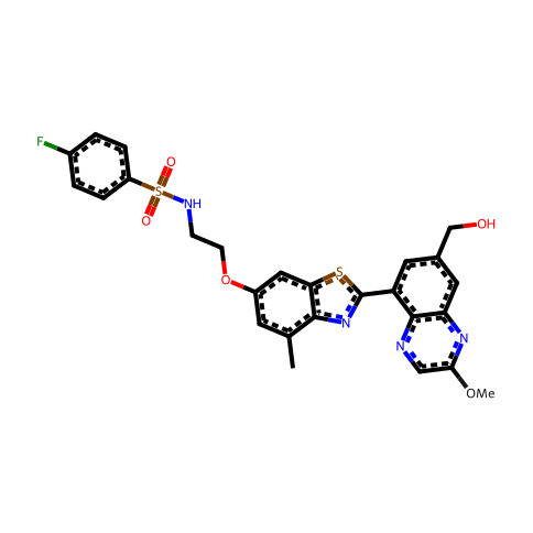 COc1cnc2c(-c3nc4c(C)cc(OCCNS(=O)(=O)c5ccc(F)cc5)cc4s3)cc(CO)cc2n1